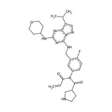 C=CC(=O)N(C(=O)C1CCNC1)c1ccc(F)c(CNc2nc(NC3CCOCC3)nc3c(C(C)C)cnn23)c1